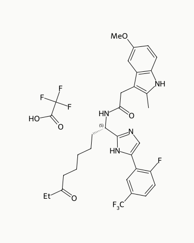 CCC(=O)CCCCC[C@H](NC(=O)Cc1c(C)[nH]c2ccc(OC)cc12)c1ncc(-c2cc(C(F)(F)F)ccc2F)[nH]1.O=C(O)C(F)(F)F